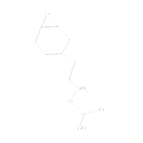 CCCC(CC)O[SiH2]CCC1CCC2OC2C1